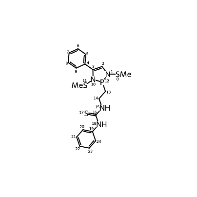 CSN1C=C(c2ccccc2)N(SC)P1CCNC(=S)Nc1ccccc1